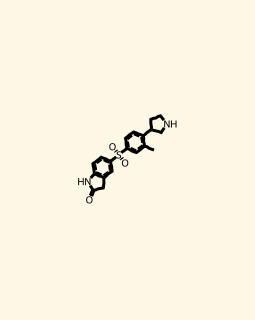 Cc1cc(S(=O)(=O)c2ccc3c(c2)CC(=O)N3)ccc1C1CCNC1